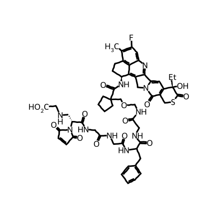 CC[C@@]1(O)C(=O)SCc2c1cc1n(c2=O)Cc2c-1nc1cc(F)c(C)c3c1c2[C@@H](NC(=O)C1(COCNC(=O)CNC(=O)C(Cc2ccccc2)NC(=O)CNC(=O)CNC(=O)[C@@H](CNCC(=O)O)N2C(=O)C=CC2=O)CCCC1)CC3